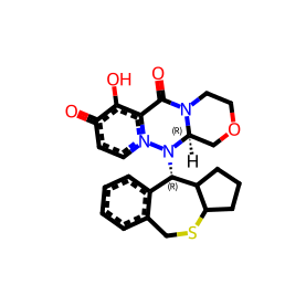 O=C1c2c(O)c(=O)ccn2N([C@H]2c3ccccc3CSC3CCCC32)[C@@H]2COCCN12